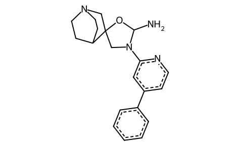 NC1OC2(CN3CCC2CC3)CN1c1cc(-c2ccccc2)ccn1